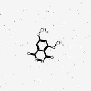 COc1cc(OC)c2c(c1)C(=O)N=NC2=O